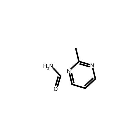 Cc1ncccn1.NC=O